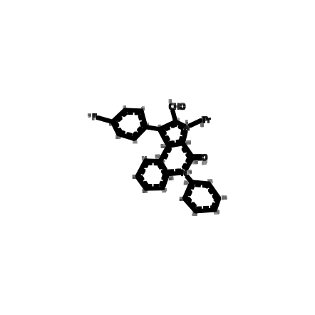 CC(C)n1c(C=O)c(-c2ccc(F)cc2)c2c3ccccc3n(-c3ccccc3)c(=O)c21